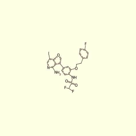 Nc1ncc(I)c2occ(-c3ccc(NS(=O)(=O)C(F)F)c(OCCc4ccc(F)cc4)c3)c12